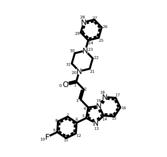 O=C(/C=C/c1c(-c2ccc(F)cc2)nc2cccnn12)N1CCN(c2cccnc2)CC1